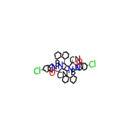 Cc1ccccc1-c1c2/c(=C(\C#N)c3nc4ccc(Cl)cc4o3)n(B(c3ccccc3)c3ccccc3)c(-c3ccccc3C)c2/c(=C(\C#N)c2nc3ccc(Cl)cc3o2)n1B(c1ccccc1)c1ccccc1